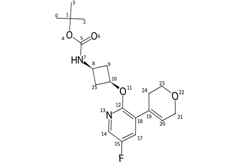 CC(C)(C)OC(=O)N[C@H]1C[C@@H](Oc2ncc(F)cc2C2=CCOCC2)C1